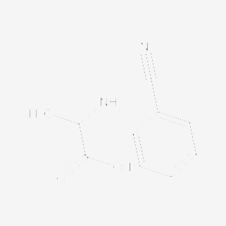 CC(N)C(=O)O.N#Cc1ccccc1